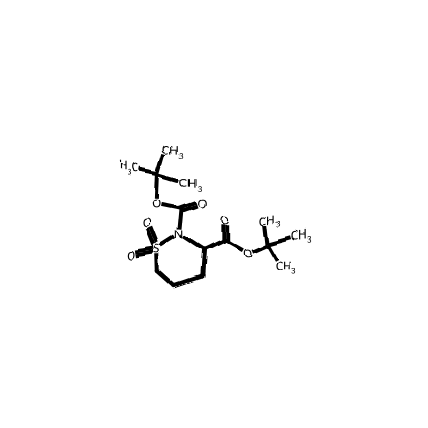 CC(C)(C)OC(=O)C1CCCS(=O)(=O)N1C(=O)OC(C)(C)C